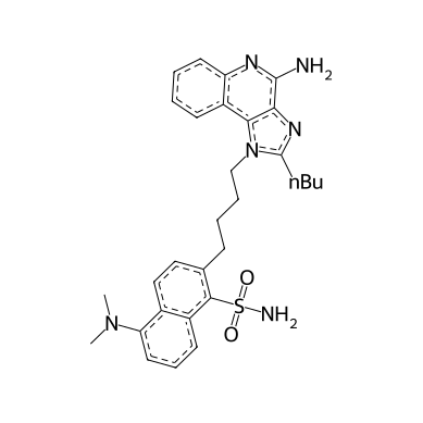 CCCCc1nc2c(N)nc3ccccc3c2n1CCCCc1ccc2c(N(C)C)cccc2c1S(N)(=O)=O